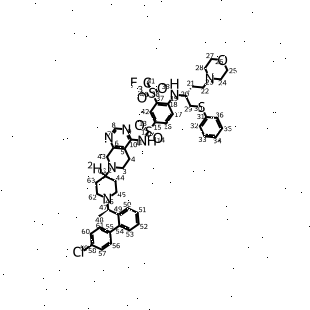 [2H]C1(N2CCc3c(ncnc3NS(=O)(=O)c3ccc(N[C@H](CCN4CCOCC4)CSc4ccccc4)c(S(=O)(=O)C(F)(F)F)c3)C2)CCN([C@H](C)c2ccccc2-c2ccc(Cl)cc2)CC1